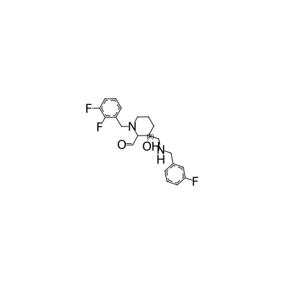 O=CC1N(Cc2cccc(F)c2F)CCC[C@@]1(O)CNCc1cccc(F)c1